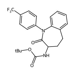 CC(C)(C)OC(=O)NC1CCc2ccccc2N(c2ccc(C(F)(F)F)cc2)C1=O